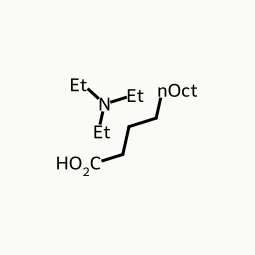 CCCCCCCCCCCC(=O)O.CCN(CC)CC